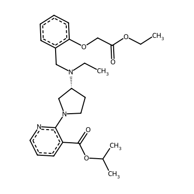 CCOC(=O)COc1ccccc1CN(CC)[C@@H]1CCN(c2ncccc2C(=O)OC(C)C)C1